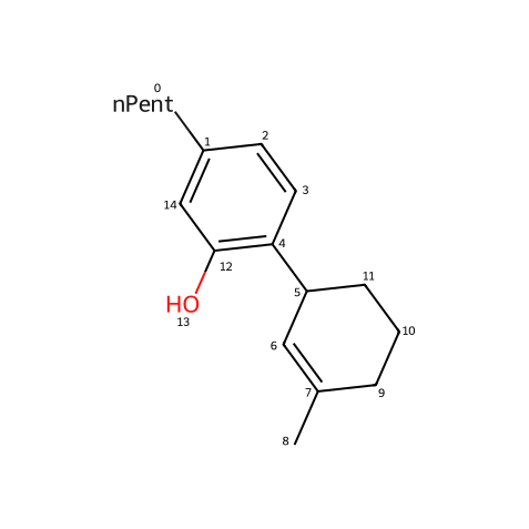 CCCCCc1ccc(C2C=C(C)CCC2)c(O)c1